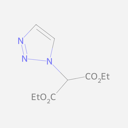 CCOC(=O)C(C(=O)OCC)n1ccnn1